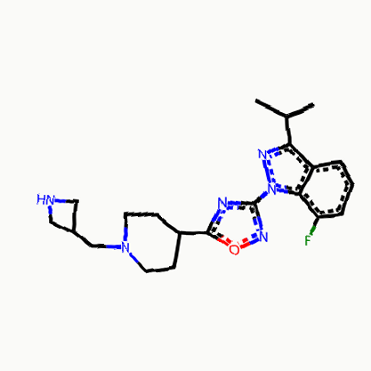 CC(C)c1nn(-c2noc(C3CCN(CC4CNC4)CC3)n2)c2c(F)cccc12